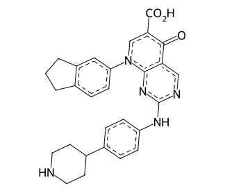 O=C(O)c1cn(-c2ccc3c(c2)CCC3)c2nc(Nc3ccc(C4CCNCC4)cc3)ncc2c1=O